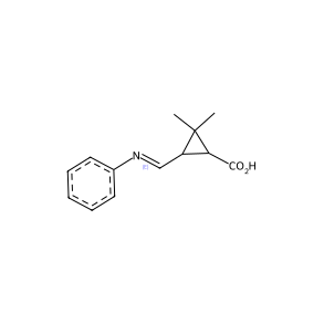 CC1(C)C(/C=N/c2ccccc2)C1C(=O)O